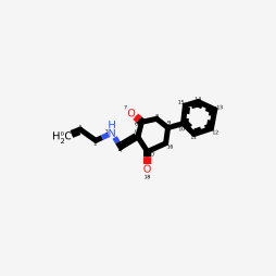 C=CCNC=C1C(=O)CC(c2ccccc2)CC1=O